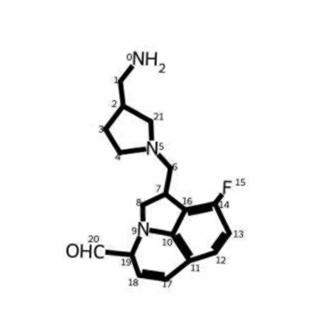 NCC1CCN(CC2CN3c4c(ccc(F)c42)C=CC3C=O)C1